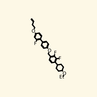 C=CCCOc1ccc(-c2ccc(OCc3ccc(C4CCC(OCC)CC4)c(F)c3F)cc2)c(F)c1